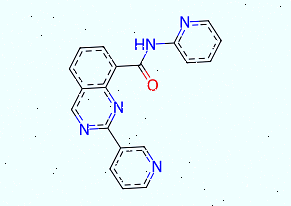 O=C(Nc1ccccn1)c1cccc2cnc(-c3cccnc3)nc12